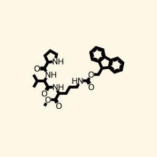 COC(=O)C(CCCNC(=O)OCC1c2ccccc2-c2ccccc21)NC(=O)C(NC(=O)C1CCCN1)C(C)C